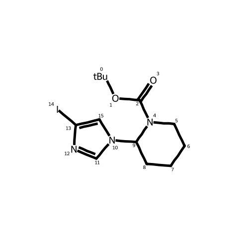 CC(C)(C)OC(=O)N1CCCCC1n1cnc(I)c1